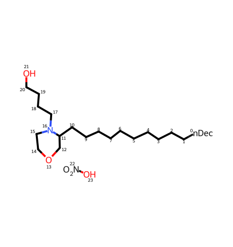 CCCCCCCCCCCCCCCCCCCCC1COCCN1CCCCO.O=[N+]([O-])O